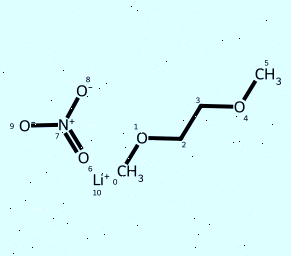 COCCOC.O=[N+]([O-])[O-].[Li+]